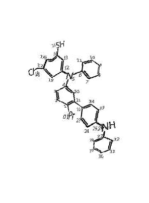 CC(C)c1ccc(N(c2ccccc2)c2cc(S)cc(Cl)c2)cc1-c1ccc(Nc2ccccc2)cc1